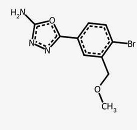 COCc1cc(-c2nnc(N)o2)ccc1Br